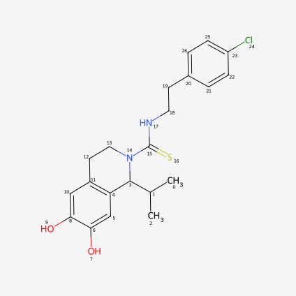 CC(C)C1c2cc(O)c(O)cc2CCN1C(=S)NCCc1ccc(Cl)cc1